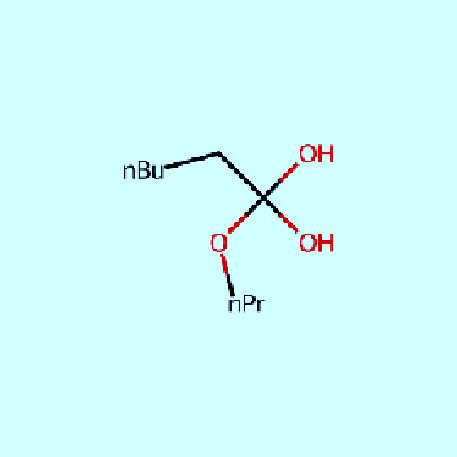 CCCCCC(O)(O)OCCC